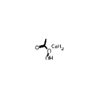 CC(=O)OO.[CaH2]